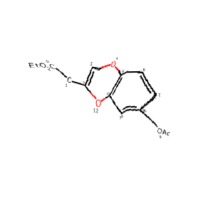 CCOC(=O)CC1=COc2ccc(OC(C)=O)cc2O1